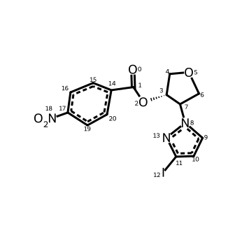 O=C(O[C@@H]1COCC1n1ccc(I)n1)c1ccc([N+](=O)[O-])cc1